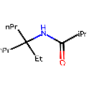 CCCC(CC)(CCC)NC(=O)C(C)C